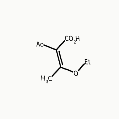 CCOC(C)=C(C(C)=O)C(=O)O